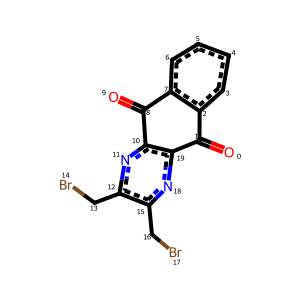 O=C1c2ccccc2C(=O)c2nc(CBr)c(CBr)nc21